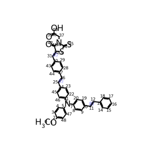 COc1ccc(N(c2ccc(/C=C/c3ccccc3)cc2)c2ccc(/C=C/c3ccc(/C=C4\SC(=S)N(CC(=O)O)C4=O)cc3)cc2)cc1